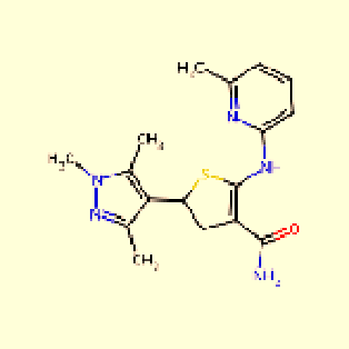 Cc1cccc(NC2=C(C(N)=O)CC(c3c(C)nn(C)c3C)S2)n1